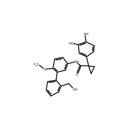 O=C(Nc1ccc(OC(F)(F)F)c(-c2ccccc2CO)c1)C1(c2ccc(O)c(O)c2)CC1